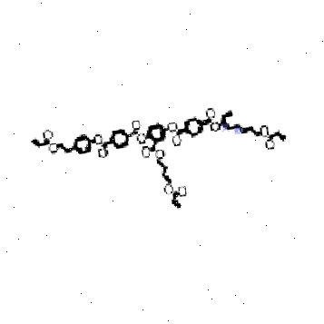 C=CC(=O)OCC/C=C/C=C(\C=C)OC(=O)C1CCC(C(=O)Oc2ccc(OC(=O)C3CCC(C(=O)Oc4ccc(CCOC(=O)C=C)cc4)CC3)c(C(=O)OCCCCOC(=O)C=C)c2)CC1